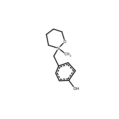 C[Si]1(Cc2ccc(O)cc2)CCCCO1